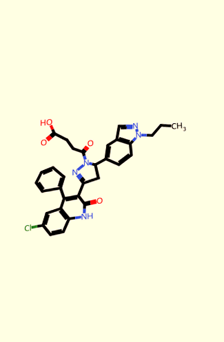 CCCn1ncc2cc(C3CC(c4c(-c5ccccc5)c5cc(Cl)ccc5[nH]c4=O)=NN3C(=O)CCC(=O)O)ccc21